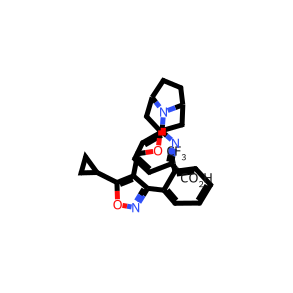 O=C(O)c1cccc(N2C3CCC2CC(OCc2c(-c4ccccc4C(F)(F)F)noc2C2CC2)C3)n1